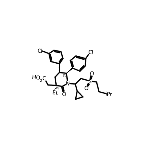 CC[C@]1(CC(=O)O)CC(c2cccc(Cl)c2)[C@@H](c2ccc(Cl)cc2)N(C(CS(=O)(=O)CCC(C)C)C2CC2)C1=O